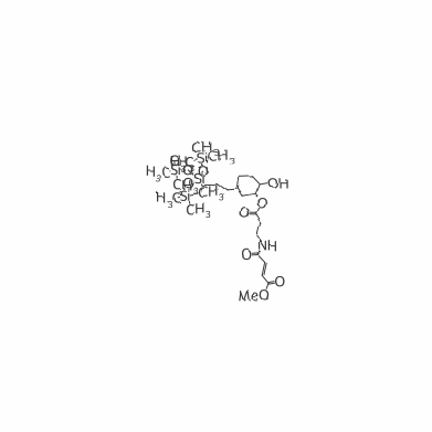 COC(=O)C=CC(=O)NCCC(=O)OC1CC(CCC[Si](O[Si](C)(C)C)(O[Si](C)(C)C)O[Si](C)(C)C)CCC1O